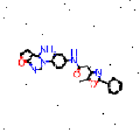 Cc1oc(-c2ccccc2)nc1CC(=O)Nc1ccc(N2CN=c3occc3=C2N)cc1